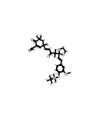 COc1cc(/C=C/C2(C(C)(C)C(=O)/C=C/C3(C)C=C(C#N)C(=O)C(C)(C)C3)OCCO2)ccc1O[Si](C)(C)C(C)(C)C